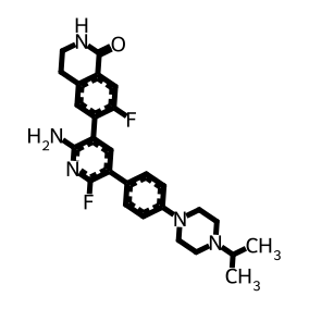 CC(C)N1CCN(c2ccc(-c3cc(-c4cc5c(cc4F)C(=O)NCC5)c(N)nc3F)cc2)CC1